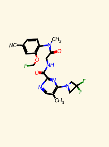 Cc1cnc(C(=O)NCC(=O)N(C)c2ccc(C#N)cc2OCF)nc1N1CC(F)(F)C1